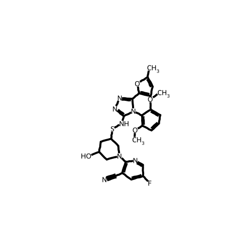 COc1cccc(OC)c1-n1c(NSC2CC(O)CN(c3ncc(F)cc3C#N)C2)nnc1-c1ccc(C)o1